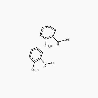 O=C(O)c1ccccc1NO.O=C(O)c1ccccc1NO